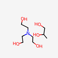 CC(O)CO.OCCN(CCO)CCO